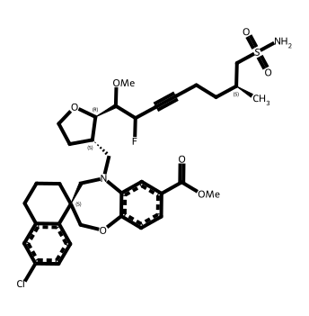 COC(=O)c1ccc2c(c1)N(C[C@@H]1CCO[C@H]1C(OC)C(F)C#CCC[C@H](C)CS(N)(=O)=O)C[C@@]1(CCCc3cc(Cl)ccc31)CO2